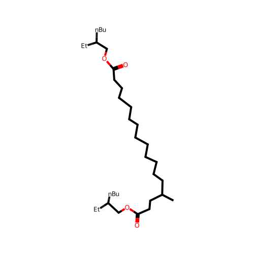 CCCCC(CC)COC(=O)CCCCCCCCCCCCC(C)CCC(=O)OCC(CC)CCCC